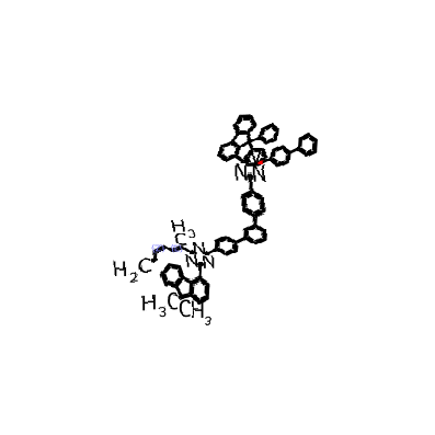 C=C/C=C\C=C(/C)c1nc(-c2ccc(-c3cccc(-c4ccc(-c5nc(-c6ccc(-c7ccccc7)cc6)nc(-c6cccc7c6C(c6ccccc6)(c6ccccc6)c6ccccc6-7)n5)cc4)c3)cc2)nc(-c2cccc3c2-c2ccccc2C3(C)C)n1